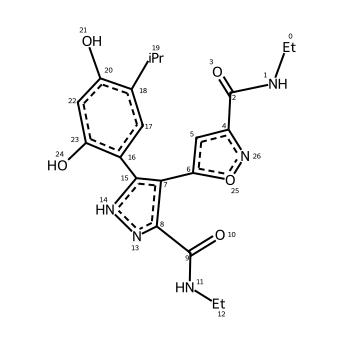 CCNC(=O)c1cc(-c2c(C(=O)NCC)n[nH]c2-c2cc(C(C)C)c(O)cc2O)on1